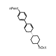 CCCCCCCC[C@H]1CC[C@H](C2C=CC(c3ccc(CCCCC)cc3)=CC2)CC1